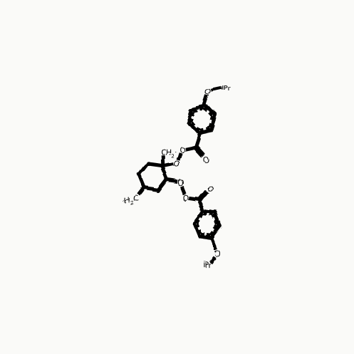 [CH2]C1CCC([CH2])(OOC(=O)c2ccc(OC(C)C)cc2)C(OOC(=O)c2ccc(OC(C)C)cc2)C1